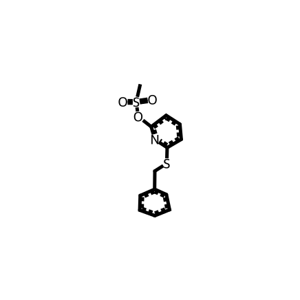 CS(=O)(=O)Oc1cccc(SCc2ccccc2)n1